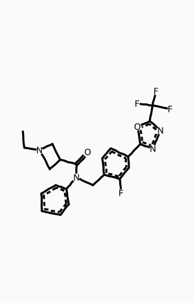 CCN1CC(C(=O)N(Cc2ccc(-c3nnc(C(F)(F)F)o3)cc2F)c2ccccc2)C1